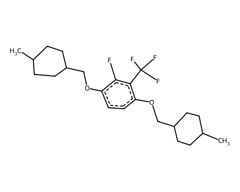 CC1CCC(COc2ccc(OCC3CCC(C)CC3)c(C(F)(F)F)c2F)CC1